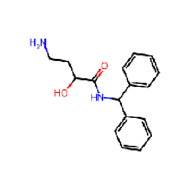 NCCC(O)C(=O)NC(c1ccccc1)c1ccccc1